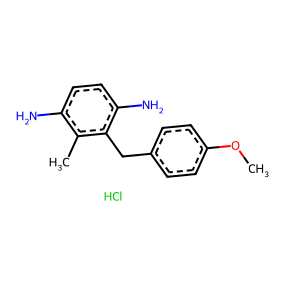 COc1ccc(Cc2c(N)ccc(N)c2C)cc1.Cl